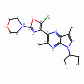 CCC(CI)n1cc(C)c2nc(-c3nc(N4CCOCC4)oc3Cl)c(C)nc21